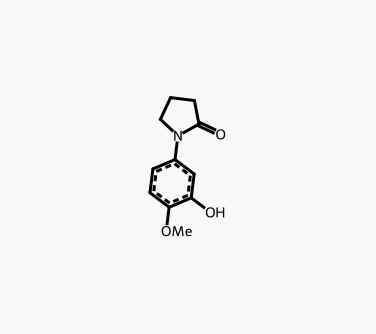 COc1ccc(N2CCCC2=O)cc1O